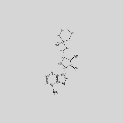 Nc1ncnc2c1ncn2[C@@H]1O[C@H](COC2(O)CCCCC2)[C@@H](O)[C@H]1O